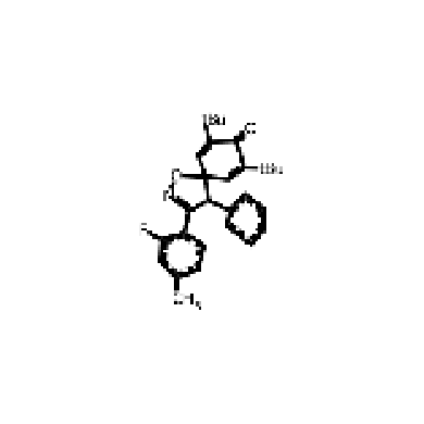 Cc1ccc(C2=NOC3(C=C(C(C)(C)C)C(=O)C(C(C)(C)C)=C3)C2c2ccccc2)c(F)c1